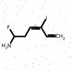 C=C/C(I)=C\CC(N)F